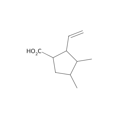 C=CC1C(C(=O)O)CC(C)C1C